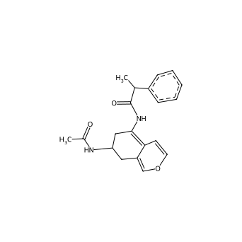 CC(=O)NC1CC2=COC=CC2=C(NC(=O)C(C)c2ccccc2)C1